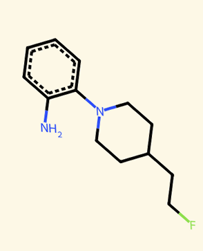 Nc1ccccc1N1CCC(CCF)CC1